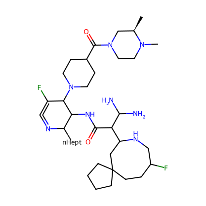 CCCCCCCC1N=C=C(F)C(N2CCC(C(=O)N3CCN(C)[C@H](C)C3)CC2)C1NC(=O)C(C(N)N)C1CC2(CCCC2)CCC(F)CN1